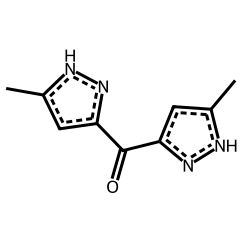 Cc1cc(C(=O)c2cc(C)[nH]n2)n[nH]1